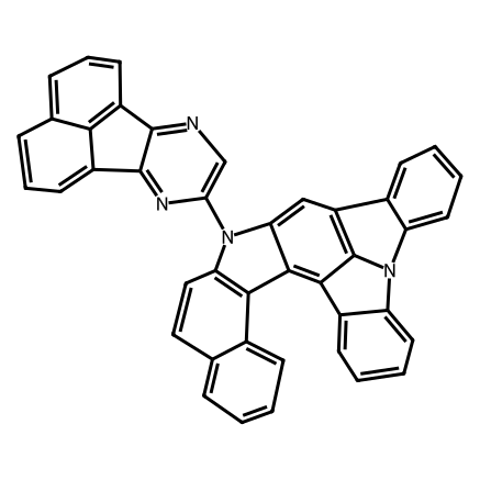 c1cc2c3c(cccc3c1)-c1nc(-n3c4ccc5ccccc5c4c4c5c6ccccc6n6c7ccccc7c(cc43)c56)cnc1-2